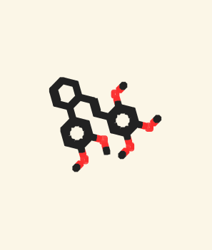 COc1cc(OC)c(OC)cc1/C=C/C1CCC=CC1c1ccc(OC)c(OC)c1